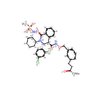 COC(=O)CCc1cccc(CONC(=O)[C@@H]2c3ccccc3C(=O)N([C@H]3CCCC[C@@H]3NS(C)(=O)=O)[C@H]2c2ccc(Cl)cc2Cl)c1